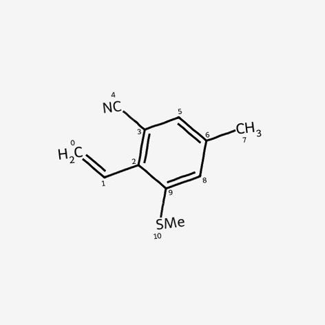 C=Cc1c(C#N)cc(C)cc1SC